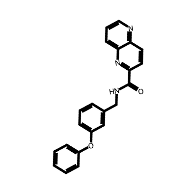 O=C(NCc1cccc(Oc2ccccc2)c1)c1ccc2ncccc2n1